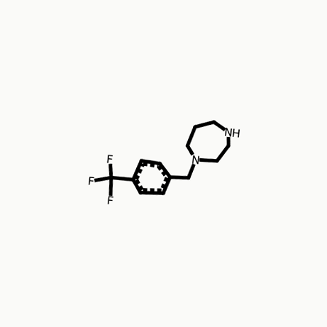 FC(F)(F)c1ccc(CN2CCCNCC2)cc1